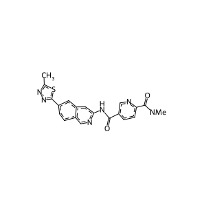 CNC(=O)c1ccc(C(=O)Nc2cc3cc(-c4nnc(C)s4)ccc3cn2)cn1